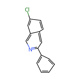 Clc1ccc2cc(-c3ccccc3)ncc2c1